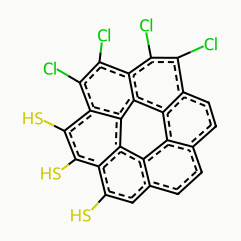 Sc1cc2ccc3ccc4c(Cl)c(Cl)c5c(Cl)c(Cl)c6c(S)c(S)c1c1c2c3c4c5c61